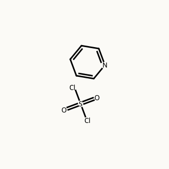 O=S(=O)(Cl)Cl.c1ccncc1